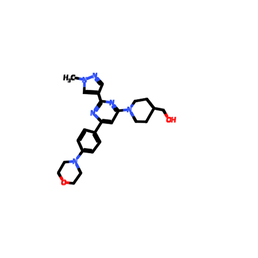 Cn1cc(-c2nc(-c3ccc(N4CCOCC4)cc3)cc(N3CCC(CO)CC3)n2)cn1